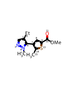 CCc1cnn(C)c1-c1cc(C(=O)OC)sc1C